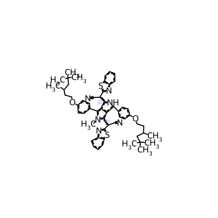 CC(CCOc1ccc(-c2[nH]/c(=C(/C#N)c3nc4ccccc4s3)c3c(-c4ccc(OCCC(C)CC(C)(C)C)cc4)n(C)/c(=C(/C#N)c4nc5ccccc5s4)c23)cc1)CC(C)(C)C